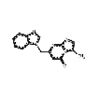 Cc1csc2nc(Cn3cnc4ccccc43)cc(=O)n12